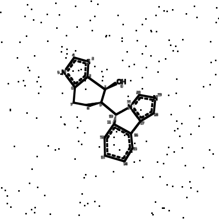 O[C@@H]1c2scnc2CC[C@@H]1[C@H]1c2ccccc2-c2cncn21